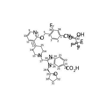 N#Cc1ccc(COc2ncccc2C2CCN(Cc3nc4ccc(C(=O)O)cc4n3C[C@@H]3CCCO3)CC2)c(F)c1.O=C(O)C(F)(F)F